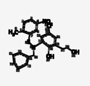 Cc1ccc([N+](=O)[O-])cc1SN(Cc1ccccc1)c1cc(Cl)cc(CCO)c1O